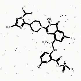 Cc1cc([C@@H](C)Nc2ccc(Cl)nc2C(=O)NS(C)(=O)=O)c2nc(N3CCC(c4nc(C)nn4C(F)F)CC3)n(C)c(=O)c2c1